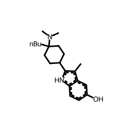 CCCCC1(N(C)C)CCC(c2[nH]c3ccc(O)cc3c2C)CC1